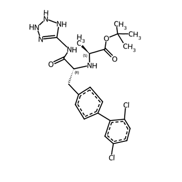 C[C@H](N[C@H](Cc1ccc(-c2cc(Cl)ccc2Cl)cc1)C(=O)NC1=NNNN1)C(=O)OC(C)(C)C